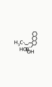 CC\C=C/C=c1\c(=C/CB(O)O)ccc2cc3ccccc3cc12